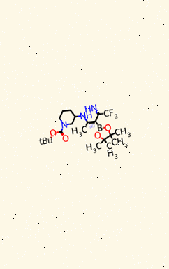 C/C(NC1CCCN(C(=O)OC(C)(C)C)C1)=C(\B1OC(C)(C)C(C)(C)O1)C(=N)C(F)(F)F